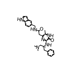 Cc1[nH]c(=O)c(N[C@@H](Cc2ccccc2)CN(C)C)nc1CC(=O)NCc1ccc2[nH]ccc2c1